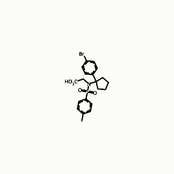 Cc1ccc(S(=O)(=O)N(CC(=O)O)C2(c3ccc(Br)cc3)CCCC2)cc1